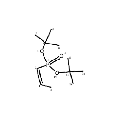 C/C=C\P(=O)(OC(C)(C)C)OC(C)(C)C